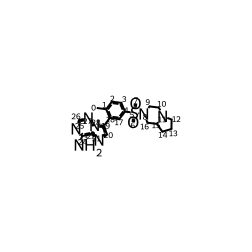 Cc1ccc(S(=O)(=O)N2CCN3CCCC3C2)cc1-c1cnc2c(N)ncnn12